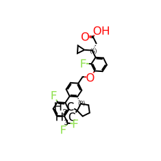 CC1(C)CCC[C@H]1c1cc(COc2cccc([C@@H](CC(=O)O)C3CC3)c2F)ccc1-c1cc(C(F)F)ccc1F